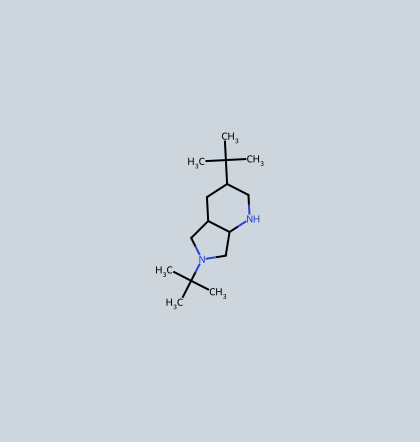 CC(C)(C)C1CNC2CN(C(C)(C)C)CC2C1